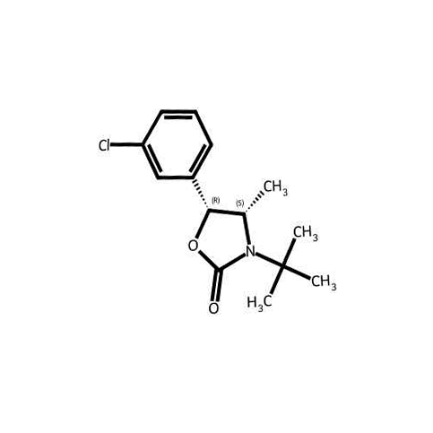 C[C@H]1[C@@H](c2cccc(Cl)c2)OC(=O)N1C(C)(C)C